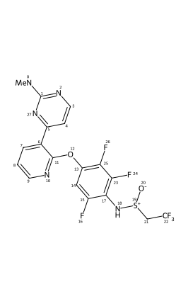 CNc1nccc(-c2cccnc2Oc2cc(F)c(N[S+]([O-])CC(F)(F)F)c(F)c2F)n1